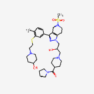 CS(=O)(=O)N1CCc2c(c(-c3ccc(C(F)(F)F)c(SCCN4CCC(O)CC4)c3)nn2CC(O)CN2CCC(C(=O)N3CCCC3)CC2)C1